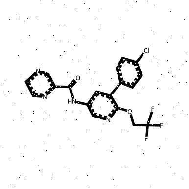 O=C(Nc1cnc(OCC(F)(F)F)c(-c2ccc(Cl)cc2)c1)c1cnccn1